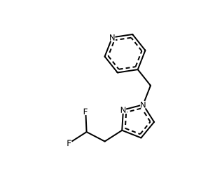 FC(F)Cc1ccn(Cc2ccncc2)n1